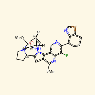 COC(=O)N1CCC[C@@H]1c1cc2c(SC)nc3c(F)c(-c4cccc5scnc45)ncc3c2n1[C@H]1[C@H]2CN[C@@H]1C2